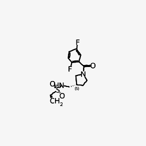 C=CS(=O)(=O)NC[C@H]1CCN(C(=O)c2cc(F)ccc2F)C1